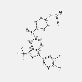 CC(C)(C)n1cc(-c2ccc(Cl)c(F)c2)c2ccc(C(=O)N3CCC(CC(N)=O)CC3)nc21